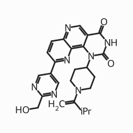 C=C(C(C)C)N1CCC(n2c(=O)[nH]c(=O)c3cnc4ccc(-c5cnc(CO)nc5)nc4c32)CC1